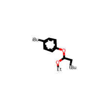 CCOC(CC(C)(C)C)Oc1ccc(C(C)CC)cc1